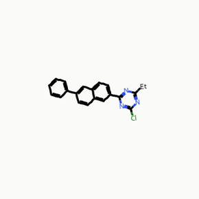 CCc1nc(Cl)nc(-c2ccc3cc(-c4ccccc4)ccc3c2)n1